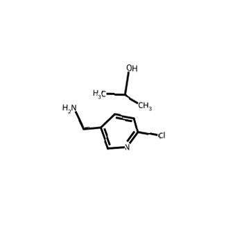 CC(C)O.NCc1ccc(Cl)nc1